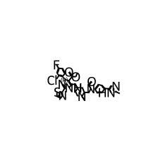 COC(=O)C1=C(CN2CCN(C)C(CN(C=O)c3ccc(-c4cnc(C)[nH]4)cc3)C2)NC(c2nccs2)=N[C@H]1c1ccc(F)cc1Cl